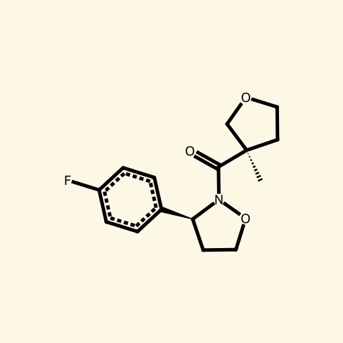 C[C@@]1(C(=O)N2OCC[C@H]2c2ccc(F)cc2)CCOC1